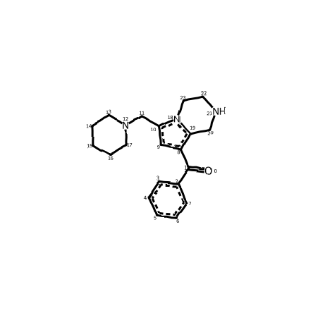 O=C(c1ccccc1)c1cc(CN2CCCCC2)n2c1CNCC2